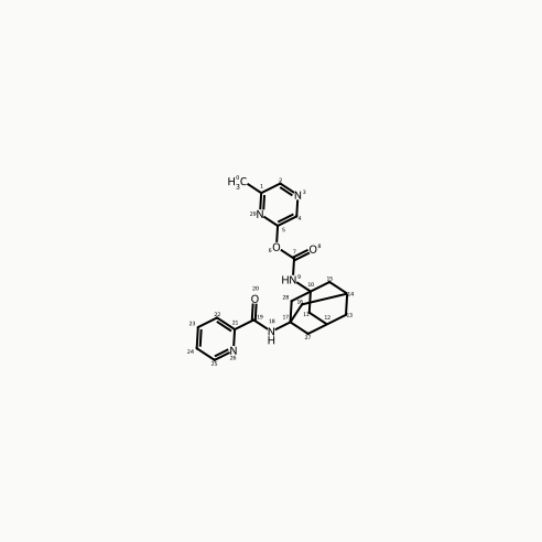 Cc1cncc(OC(=O)NC23CC4CC(C2)CC(NC(=O)c2ccccn2)(C4)C3)n1